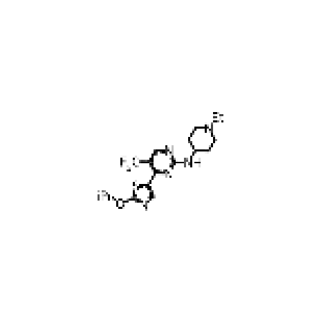 CCN1CCC(Nc2ncc(C(F)(F)F)c(-c3cnc(OC(C)C)s3)n2)CC1